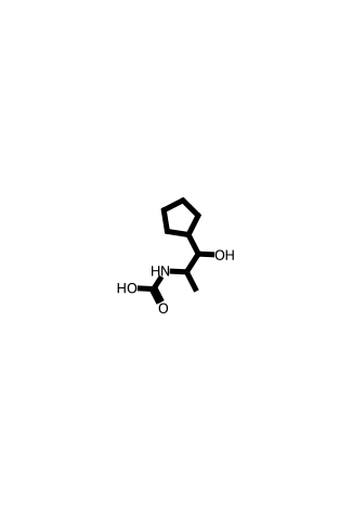 CC(NC(=O)O)C(O)C1CCCC1